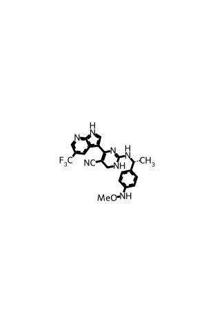 CONc1ccc([C@@H](C)NC2=NC(c3c[nH]c4ncc(C(F)(F)F)cc34)=C(C#N)CN2)cc1